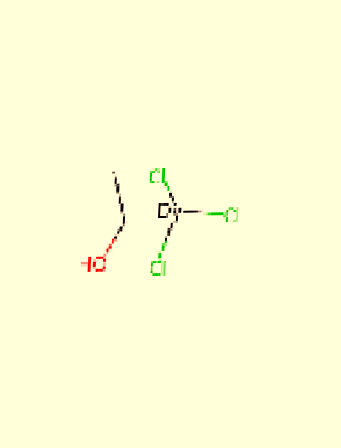 CCO.[Cl][Dy]([Cl])[Cl]